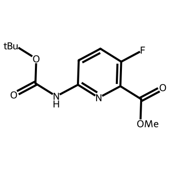 COC(=O)c1nc(NC(=O)OC(C)(C)C)ccc1F